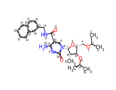 CC(C)OC[C@H]1O[C@@H](n2cc(C(=O)NCc3ccc4ccccc4c3)c(N)nc2=O)[C@@H](C)C1OC(C)C